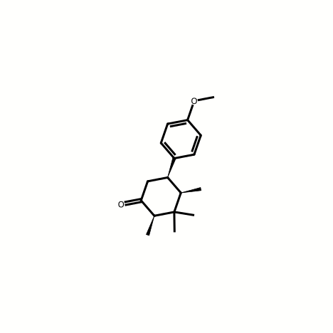 COc1ccc([C@@H]2CC(=O)[C@H](C)C(C)(C)[C@@H]2C)cc1